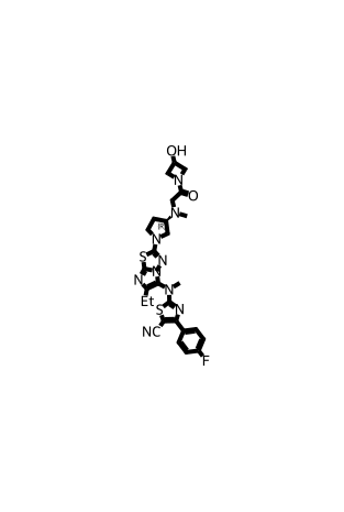 CCc1nc2sc(N3CC[C@@H](N(C)CC(=O)N4CC(O)C4)C3)nn2c1N(C)c1nc(-c2ccc(F)cc2)c(C#N)s1